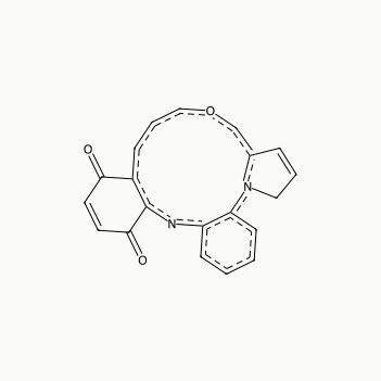 O=C1C=CC(=O)c2nc3ccccc3n3c(cocccc21)C=CC3